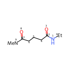 CCNC(=O)C[CH]CC(=O)NC